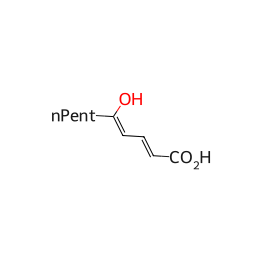 CCCCCC(O)=CC=CC(=O)O